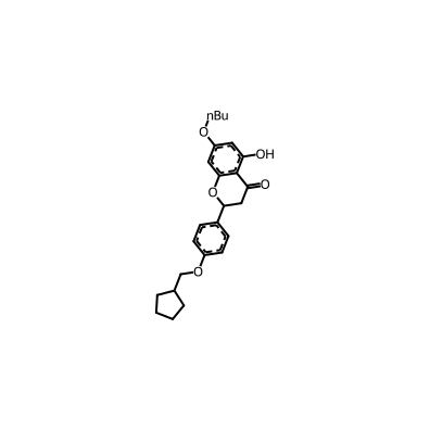 CCCCOc1cc(O)c2c(c1)OC(c1ccc(OCC3CCCC3)cc1)CC2=O